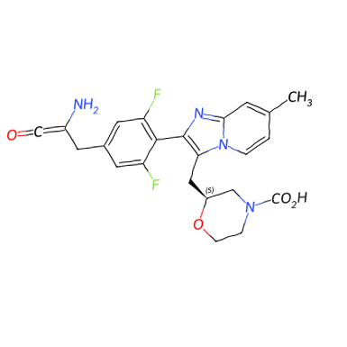 Cc1ccn2c(C[C@H]3CN(C(=O)O)CCO3)c(-c3c(F)cc(CC(N)=C=O)cc3F)nc2c1